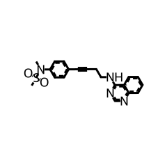 CN(c1ccc(C#CCCNc2ncnc3ccccc23)cc1)S(C)(=O)=O